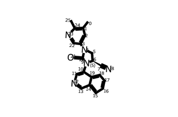 Cc1cc(N2C[C@@H](C#N)N(c3cncc4ccccc34)C2=O)cnc1C